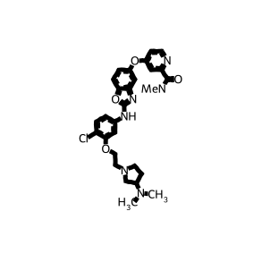 CNC(=O)c1cc(Oc2ccc3oc(Nc4ccc(Cl)c(OCCN5CCC(N(C)C)C5)c4)nc3c2)ccn1